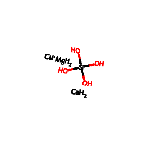 O[Si](O)(O)O.[CaH2].[Cu].[MgH2]